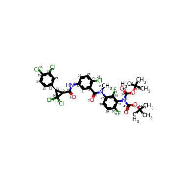 CN(C(=O)c1cc(NC(=O)C2[C@H](c3ccc(Cl)c(Cl)c3)C2(Cl)Cl)ccc1Cl)c1ccc(F)c(N(C(=O)OC(C)(C)C)C(=O)OC(C)(C)C)c1F